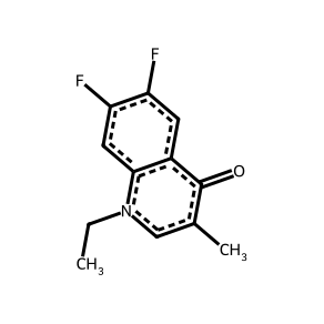 CCn1cc(C)c(=O)c2cc(F)c(F)cc21